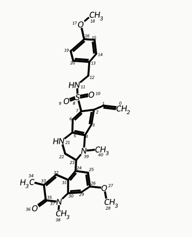 C=Cc1cc2c(cc1S(=O)(=O)NCc1ccc(OC)cc1)NCC(c1cc(OC)cc3c1cc(C)c(=O)n3C)N2C